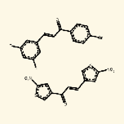 O=C(C=Cc1cc(F)cc(F)c1)c1ccc(Br)cc1.O=C(C=Cc1csc([N+](=O)[O-])c1)c1csc([N+](=O)[O-])c1